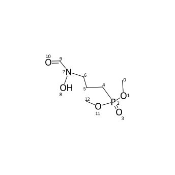 COP(=O)(CCCN(O)C=O)OC